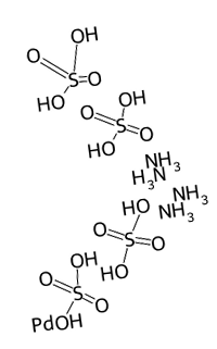 N.N.N.N.O=S(=O)(O)O.O=S(=O)(O)O.O=S(=O)(O)O.O=S(=O)(O)O.[Pd]